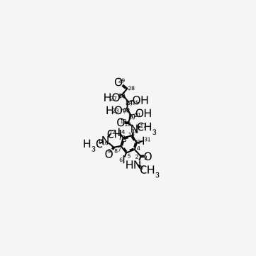 CNC(=O)c1c(I)c(C(=O)N(C)C)c(I)c(N(C)C(=O)[C@@H](O)[C@H](O)[C@H](O)[C@@H](O)C=O)c1I